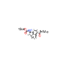 CNC(=O)c1ccc2c(c1C)CC[C@@H]2NC(=O)OC(C)(C)C